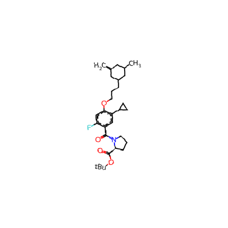 C=C1CC(C)CC(CCCOc2cc(F)c(C(=O)N3CCC[C@H]3C(=O)OC(C)(C)C)cc2C2CC2)C1